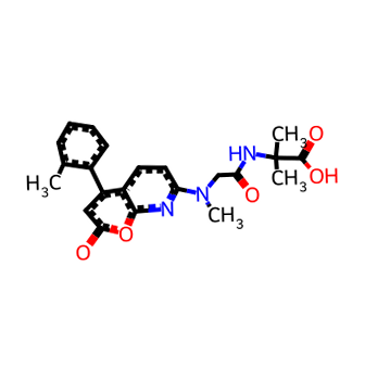 Cc1ccccc1-c1cc(=O)oc2nc(N(C)CC(=O)NC(C)(C)C(=O)O)ccc12